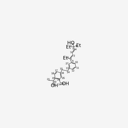 CC/C(=C\C=C\C(O)(CC)CC)c1cccc(CCc2ccc(C(C)O)c(CO)c2)c1